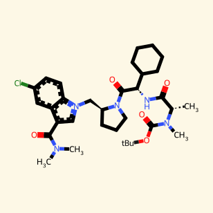 C[C@@H](C(=O)N[C@H](C(=O)N1CCC[C@H]1Cn1cc(C(=O)N(C)C)c2cc(Cl)ccc21)C1CCCCC1)N(C)C(=O)OC(C)(C)C